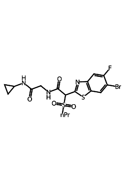 CCCS(=O)(=O)C(C(=O)NCC(=O)NC1CC1)c1nc2cc(F)c(Br)cc2s1